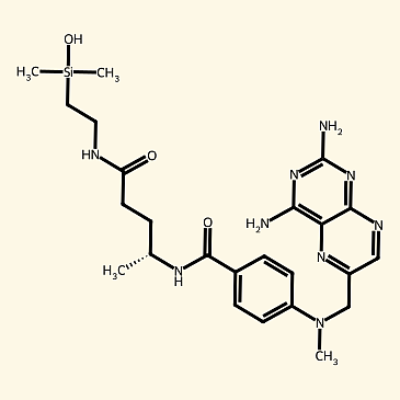 C[C@H](CCC(=O)NCC[Si](C)(C)O)NC(=O)c1ccc(N(C)Cc2cnc3nc(N)nc(N)c3n2)cc1